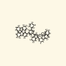 CC1(C)c2c(cccc2-c2ccc(-c3nc(-c4ccccc4)cc(-c4cccc5c4-c4ccccc4C5(c4ccccc4)c4ccccc4)n3)c3ccccc23)-c2ccc3ccccc3c21